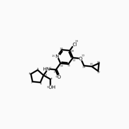 O=C(NC1(CO)CCCC1)c1cc(OCC2CC2)c(Cl)cn1